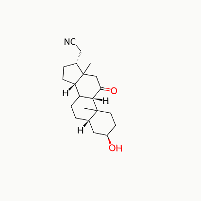 CC12CC(=O)[C@H]3C(CC[C@H]4C[C@H](O)CCC43C)[C@@H]1CC[C@@H]2CC#N